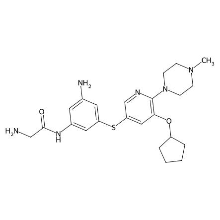 CN1CCN(c2ncc(Sc3cc(N)cc(NC(=O)CN)c3)cc2OC2CCCC2)CC1